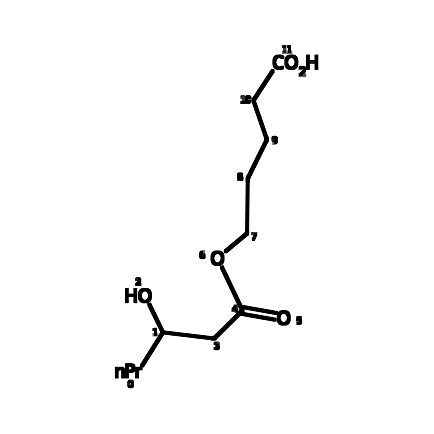 CCCC(O)CC(=O)OCCCCC(=O)O